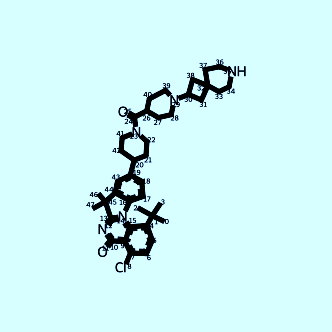 CC(C)(C)c1ccc(Cl)c2c(=O)nc3n(c12)-c1ccc(C2CCN(C(=O)C4CCN(C5CC6(CCNCC6)C5)CC4)CC2)cc1C3(C)C